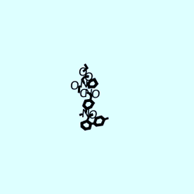 CCOC(=O)CN1C(=O)CCN(C(=O)c2ccc(N(C)C(=O)c3ccccc3-c3ccc(C)cc3)cc2)c2ccccc21